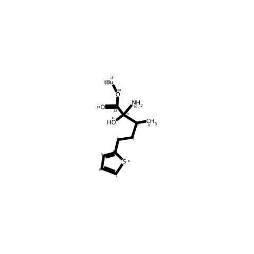 CC(CCc1cccs1)C(N)(O)C(=O)OC(C)(C)C